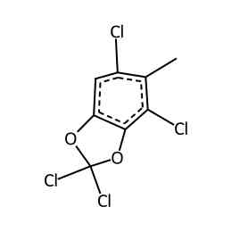 Cc1c(Cl)cc2c(c1Cl)OC(Cl)(Cl)O2